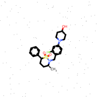 C[C@H]1CCC(c2ccccc2)S(=O)(=O)N1Cc1ccc(N2CCC(O)CC2)cc1F